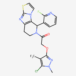 Cn1nc(OCC(=O)N2CCc3nc4sccn4c3C2c2cccnc2F)c(C(F)(F)F)c1Cl